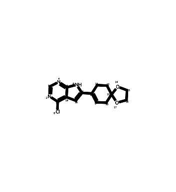 Clc1ncnc2[nH]c(C3=CCC4(CC3)OCCO4)cc12